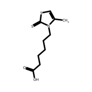 Cc1csc(=S)n1CCCCCC(=O)O